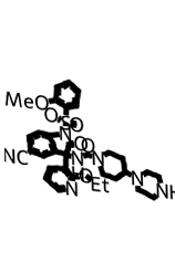 CCOc1ncccc1C1(NC(=O)N2CCC(N3CCNCC3)CC2)C(=O)N(S(=O)(=O)c2ccccc2OC)c2ccc(C#N)cc21